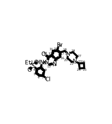 CCS(=O)(=O)c1ccc(Cl)cc1Nn1cnc2cc(CN3CCN(C4CCC4)CC3)c(Br)cc2c1=O